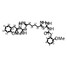 COc1ccccc1CC(=O)NC(=N)SC(=N)CCCCC(=N)SC(=N)NC(=O)Cc1ccccc1OC